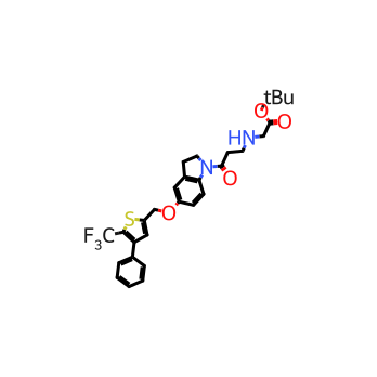 CC(C)(C)OC(=O)CNCCC(=O)N1CCc2cc(OCc3cc(-c4ccccc4)c(C(F)(F)F)s3)ccc21